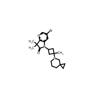 CC1(C)C(=O)N(C2CC(C)(N3CCCC4(CC4)C3)C2)c2cc(Br)cnc21